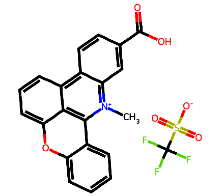 C[n+]1c2c3c(cccc3c3ccc(C(=O)O)cc31)Oc1ccccc1-2.O=S(=O)([O-])C(F)(F)F